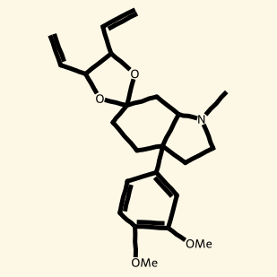 C=CC1OC2(CCC3(c4ccc(OC)c(OC)c4)CCN(C)C3C2)OC1C=C